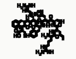 CCCC[C@H](NC(=O)[C@@H](N)CCCNC(=N)N)C(=O)N[C@@H](CS)C(=O)N[C@@H](Cc1c[nH]cn1)C(=O)N[C@H](Cc1ccccc1)C(=O)N[C@@H](CCCNC(=N)N)C(=O)N[C@@H](Cc1ccccc1)C(=O)N[C@@H](CS)C(=O)O